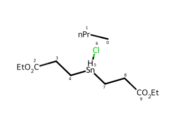 CCCC.CCOC(=O)C[CH2][SnH]([Cl])[CH2]CC(=O)OCC